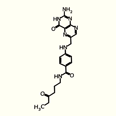 CCC(=O)CCCNC(=O)c1ccc(NCc2cnc3nc(N)[nH]c(=O)c3n2)cc1